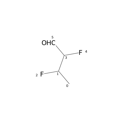 CC(F)C(F)C=O